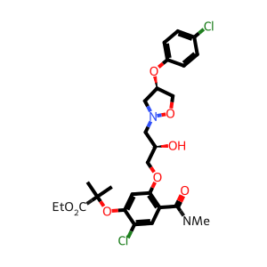 CCOC(=O)C(C)(C)Oc1cc(OC[C@H](O)CN2C[C@@H](Oc3ccc(Cl)cc3)CO2)c(C(=O)NC)cc1Cl